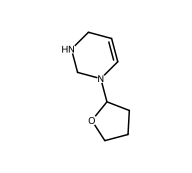 C1=CN(C2CCCO2)CNC1